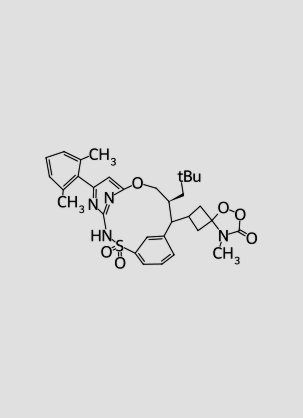 Cc1cccc(C)c1-c1cc2nc(n1)NS(=O)(=O)c1cccc(c1)C(C1CC3(C1)OOC(=O)N3C)[C@H](CC(C)(C)C)CO2